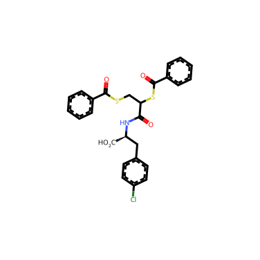 O=C(SCC(SC(=O)c1ccccc1)C(=O)N[C@@H](Cc1ccc(Cl)cc1)C(=O)O)c1ccccc1